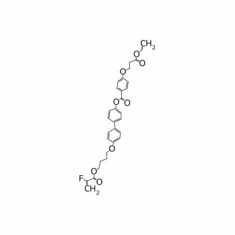 C=COC(=O)CCOc1ccc(C(=O)Oc2ccc(-c3ccc(OCCCCOC(=O)C(=C)F)cc3)cc2)cc1